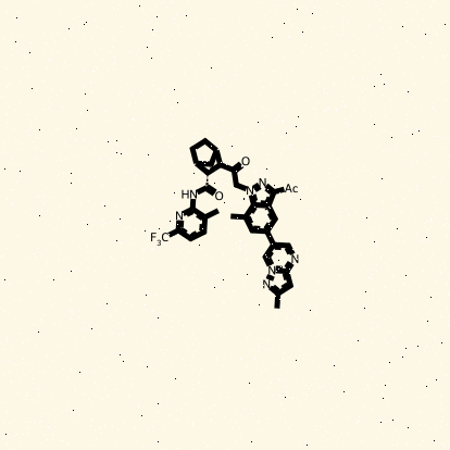 CC(=O)c1nn(CC(=O)C2C3CCC(C3)[C@H]2C(=O)Nc2nc(C(F)(F)F)ccc2C)c2c(C)cc(-c3cnc4cc(C)nn4c3)cc12